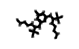 COCCOC(Oc1cc(OC(OCCOC)C(C)(C)C)nc(C)n1)C(C)(C)C